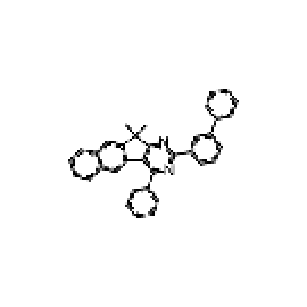 CC1(C)c2cc3ccccc3cc2-c2c(-c3ccccc3)nc(-c3cccc(-c4ccccc4)c3)nc21